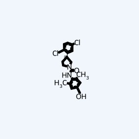 Cc1cc(CO)cc(C)c1NC(=O)N1CC[C@H](c2cc(Cl)ccc2Cl)C1